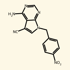 N#Cc1cn(Cc2ccc([N+](=O)[O-])cc2)c2ncnc(N)c12